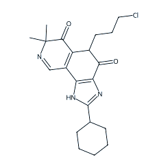 CC1(C)N=CC2=C(C1=O)C(CCCCl)C(=O)c1nc(C3CCCCC3)[nH]c12